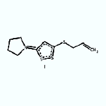 C=CCSc1cc(=[N+]2CCCC2)ss1.[I-]